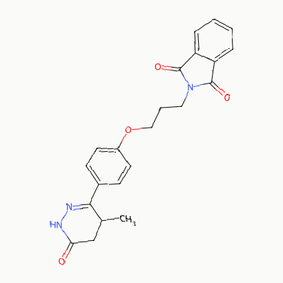 CC1CC(=O)NN=C1c1ccc(OCCCN2C(=O)c3ccccc3C2=O)cc1